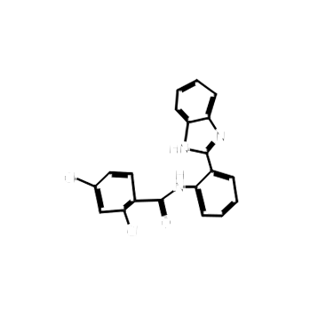 O=C(Nc1ccccc1-c1nc2ccccc2[nH]1)c1ccc(Cl)cc1Cl